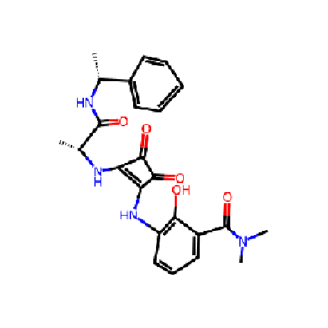 C[C@@H](Nc1c(Nc2cccc(C(=O)N(C)C)c2O)c(=O)c1=O)C(=O)N[C@H](C)c1ccccc1